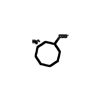 O=C([O-])C1CCCCCCC1.[Hg+]